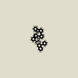 c1ccc(-c2nc3cc4ccccc4c(-c4ccccc4)c3nc2-n2c3cccc4c5cccc6c7ccccc7n(c7cccc2c7c43)c56)cc1